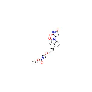 CC(C)(C)OC(=O)N1CC(OCC23CC(c4cccc5c4C4(CC4)C(=O)N5[C@@H]4CCC(=O)NC4=O)(C2)C3)C1